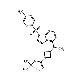 Cc1ccc(S(=O)(=O)n2ccc3c(N(C)C4CN(C(=O)OC(C)(C)C)C4)ncnc32)cc1